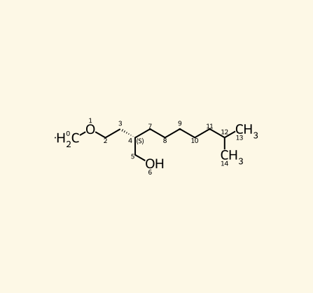 [CH2]OCC[C@@H](CO)CCCCCC(C)C